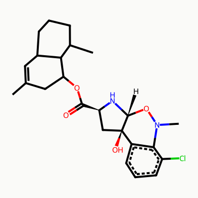 CC1=CC2CCCC(C)C2C(OC(=O)[C@@H]2C[C@@]3(O)c4cccc(Cl)c4N(C)O[C@H]3N2)C1